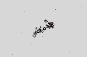 Cc1cc(S(=O)(=O)NC(=O)c2ccc(N3CCC(N(C(=O)CCc4ccccc4)[C@H]4C[C@H]5C[C@@H]([C@@H]4C)C5(C)C)CC3)cc2)ccc1NCC1CCCCC1